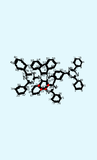 c1ccc(-c2nc(-c3ccccc3)nc(-c3ccc(N4c5ccccc5N(c5nc(-c6ccccc6)nc(-c6ccccc6)n5)c5c4c4ccccc4c4ccccc54)c(-c4nc(-c5ccccc5)nc(-c5ccccc5)n4)c3)n2)cc1